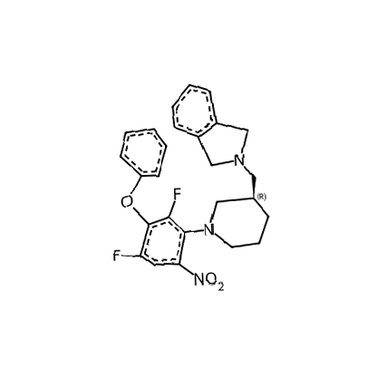 O=[N+]([O-])c1cc(F)c(Oc2ccccc2)c(F)c1N1CCC[C@H](CN2Cc3ccccc3C2)C1